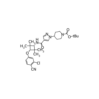 CC(C)(C)OC(=O)N1CCC(n2cc(C(=O)N[C@H]3C(C)(C)[C@H](Oc4ccc(C#N)c(Cl)c4)C3(C)C)cn2)CC1